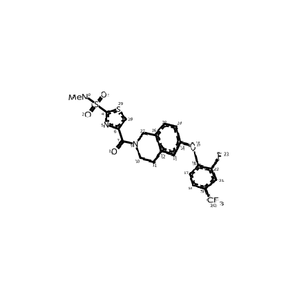 CNS(=O)(=O)c1nc(C(=O)N2CCc3cc(Oc4ccc(C(F)(F)F)cc4F)ccc3C2)cs1